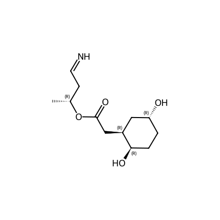 C[C@H](CC=N)OC(=O)C[C@H]1C[C@H](O)CC[C@H]1O